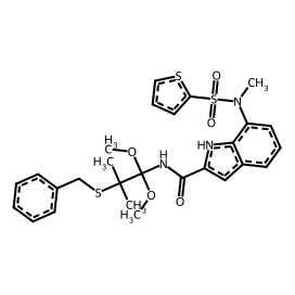 COC(NC(=O)c1cc2cccc(N(C)S(=O)(=O)c3cccs3)c2[nH]1)(OC)C(C)(C)SCc1ccccc1